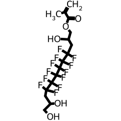 C=C(C)C(=O)OCC(O)CC(F)(F)C(F)(F)C(F)(F)C(F)(F)C(F)(F)C(F)(F)CC(O)CO